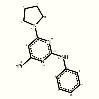 CCCc1cc(N2CCCC2)nc(Nc2ccccc2)n1